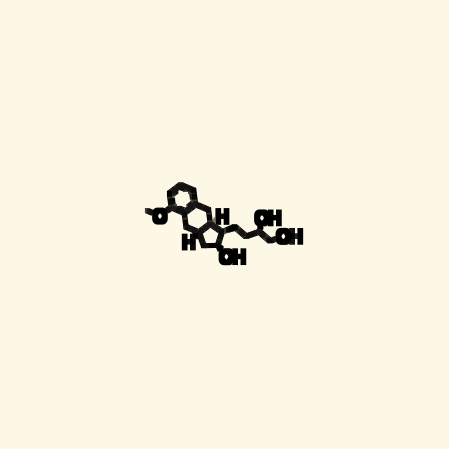 COc1cccc2c1C[C@H]1C[C@H](O)[C@H](CC[C@@H](O)CO)[C@@H]1C2